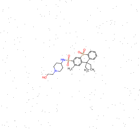 CCC1(CC)c2ccccc2S(=O)(=O)c2cc(S(=O)(=O)NC3CCN(CCO)CC3)c(C)cc21